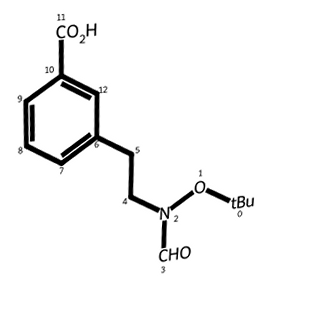 CC(C)(C)ON(C=O)CCc1cccc(C(=O)O)c1